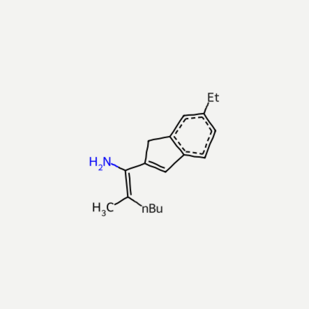 CCCC/C(C)=C(/N)C1=Cc2ccc(CC)cc2C1